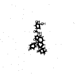 O=C(N[C@@H]1CC[C@@]2(S(=O)(=O)c3ccc(F)cc3)c3ccc(C(F)(C(F)(F)F)C(F)(F)F)cc3CC[C@@H]12)[C@H]1C[C@@H](O)[C@@H](O)C1